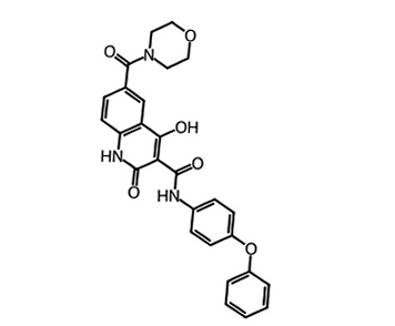 O=C(Nc1ccc(Oc2ccccc2)cc1)c1c(O)c2cc(C(=O)N3CCOCC3)ccc2[nH]c1=O